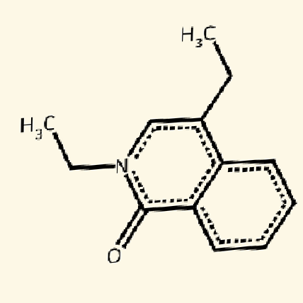 CCc1cn(CC)c(=O)c2ccccc12